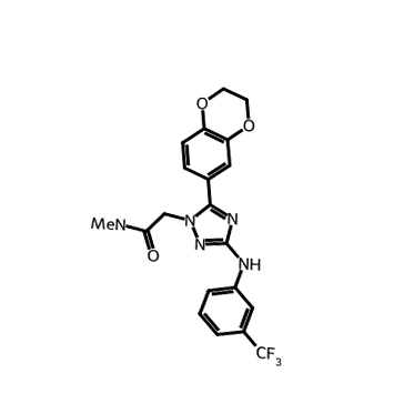 CNC(=O)Cn1nc(Nc2cccc(C(F)(F)F)c2)nc1-c1ccc2c(c1)OCCO2